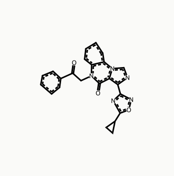 O=C(Cn1c(=O)c2c(-c3noc(C4CC4)n3)ncn2c2ccccc21)c1ccccc1